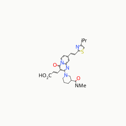 CNC(=O)C1CCCN(c2nc3cc(C=Cc4nc(C(C)C)cs4)ccn3c(=O)c2C=CC(=O)O)C1